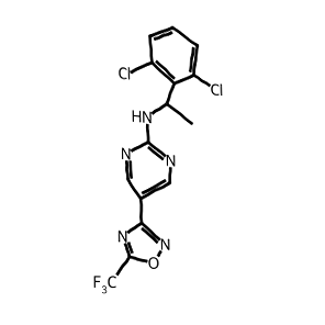 CC(Nc1ncc(-c2noc(C(F)(F)F)n2)cn1)c1c(Cl)cccc1Cl